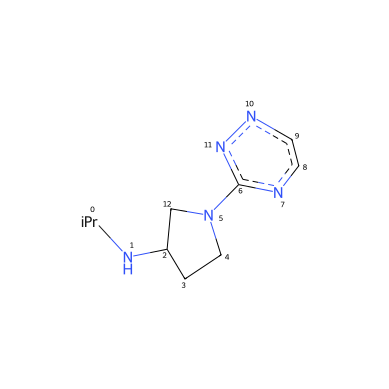 CC(C)NC1CCN(c2nccnn2)C1